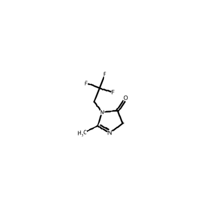 CC1=NCC(=O)N1CC(F)(F)F